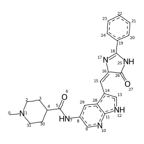 CN1CCC(C(=O)Nc2cnc3[nH]cc(/C=C4/N=C(c5ccccc5)NC4=O)c3c2)CC1